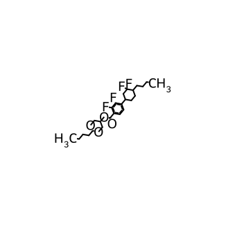 CCCCC1OCC(OC(=O)c2ccc(C3CCC(CCCC)C(F)(F)C3)c(F)c2F)CO1